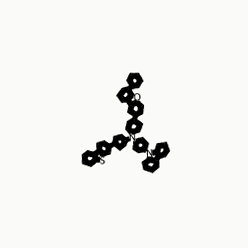 c1ccc(-c2cccc3c2oc2ccc(-c4ccc(N(c5ccc(-c6ccc7c(c6)sc6ccccc67)cc5)c5ccc(-n6c7ccccc7c7ccccc76)cc5)cc4)cc23)cc1